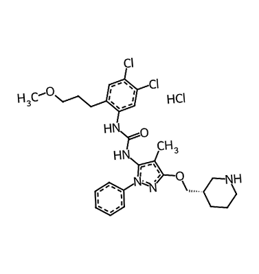 COCCCc1cc(Cl)c(Cl)cc1NC(=O)Nc1c(C)c(OC[C@H]2CCCNC2)nn1-c1ccccc1.Cl